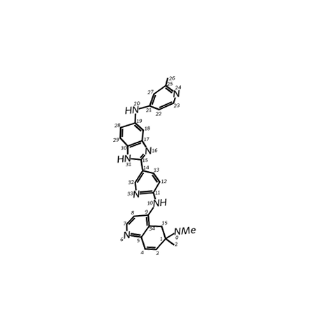 CNC1(C)C=Cc2nccc(Nc3ccc(-c4nc5cc(Nc6ccnc(C)c6)ccc5[nH]4)cn3)c2C1